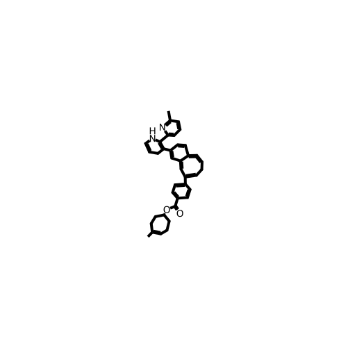 CC1=CCC[C@H](OC(=O)c2ccc(C3=C/CC=C=c4ccc(C5=C(c6cccc(C)n6)NC=CC5)c\c4=C\3)cc2)CC1